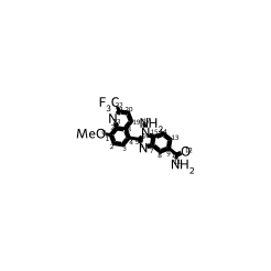 COc1ccc(-c2nc3cc(C(N)=O)ccc3n2N)c2ccc(C(F)(F)F)nc12